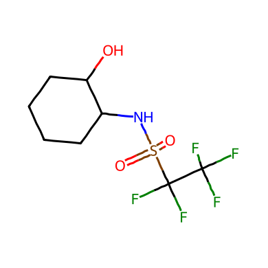 O=S(=O)(NC1CCCCC1O)C(F)(F)C(F)(F)F